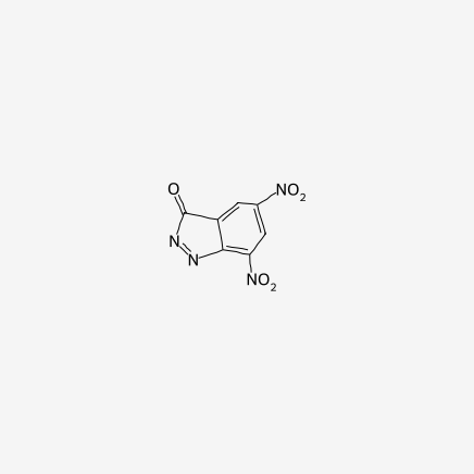 O=C1N=Nc2c1cc([N+](=O)[O-])cc2[N+](=O)[O-]